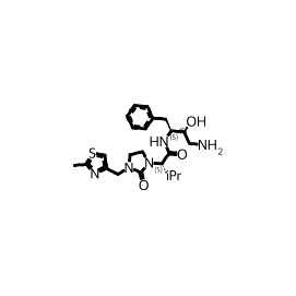 Cc1nc(CN2CCN([C@H](C(=O)N[C@@H](Cc3ccccc3)[C@@H](O)CN)C(C)C)C2=O)cs1